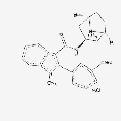 COc1cccc(-c2c(C(=O)N[C@H]3C[C@H]4CC[C@@H](C3)N4C)c3ccccc3n2C)c1.Cl